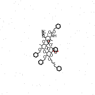 COC(=O)C1O[C@H](O[C@@H]2C(OCc3ccccc3)[C@@H](OCCSCc3ccccc3)OC(C(=O)OC)[C@@H]2OCc2ccccc2)C(OCc2ccccc2)[C@@H](C)[C@H]1O[C@H]1OC(C)[C@H](NC(=O)OCc2ccccc2)[C@H](C)C1N=[N+]=[N-]